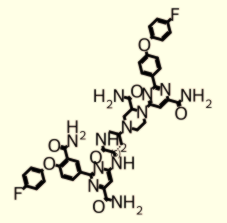 CC(C[C@H](Nc1cc(C(N)=O)nc(-c2ccc(Oc3ccc(F)cc3)c(C(N)=O)c2)n1)C(N)=O)N1CCN(c2cc(C(N)=O)nc(-c3ccc(Oc4ccc(F)cc4)cc3)n2)C(C(N)=O)C1